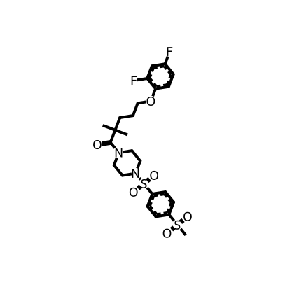 CC(C)(CCCOc1ccc(F)cc1F)C(=O)N1CCN(S(=O)(=O)c2ccc(S(C)(=O)=O)cc2)CC1